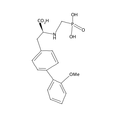 COc1ccccc1-c1ccc(C[C@H](NCP(=O)(O)O)C(=O)O)cc1